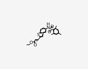 CCOC(=O)/C=C/c1cc2cc(NS(=O)(=O)c3c(C)cc(C)cc3C)ccc2s1